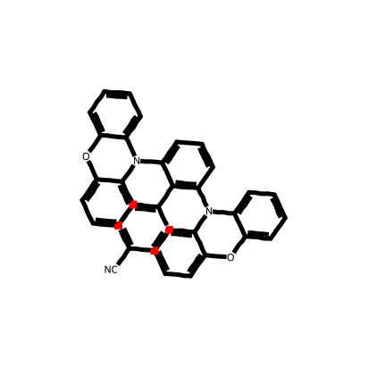 N#Cc1cnc(-c2c(N3c4ccccc4Oc4ccccc43)cccc2N2c3ccccc3Oc3ccccc32)cn1